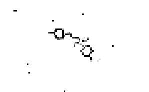 CCCC1CCN(S(=O)(=O)CCCN2CCC(C)CC2)CC1